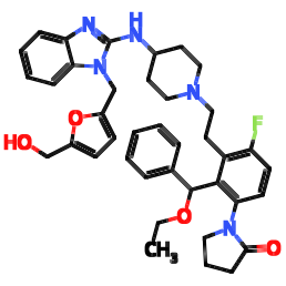 CCOC(c1ccccc1)c1c(N2CCCC2=O)ccc(F)c1CCN1CCC(Nc2nc3ccccc3n2Cc2ccc(CO)o2)CC1